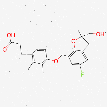 Cc1c(CCC(=O)O)ccc(OCc2cc(F)cc3c2OC(C)(CO)C3)c1C